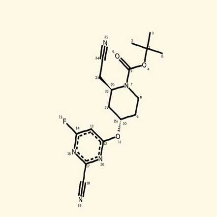 CC(C)(C)OC(=O)N1CC[C@H](Oc2cc(F)nc(C#N)n2)C[C@H]1CC#N